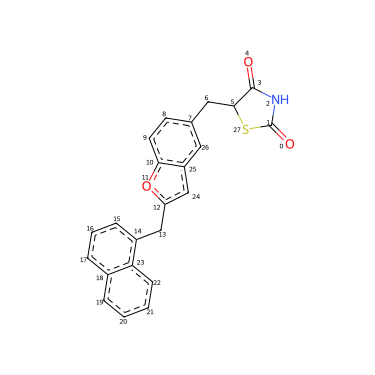 O=C1NC(=O)C(Cc2ccc3oc(Cc4cccc5ccccc45)cc3c2)S1